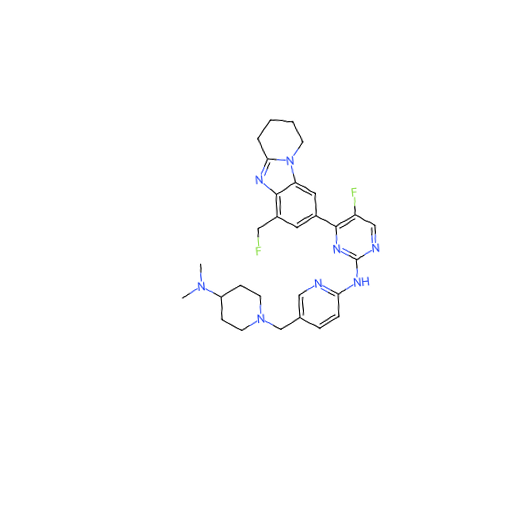 CN(C)C1CCN(Cc2ccc(Nc3ncc(F)c(-c4cc(CF)c5nc6n(c5c4)CCCC6)n3)nc2)CC1